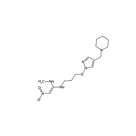 CN/C(=C\[N+](=O)[O-])NCCCOn1cc(CN2CCCCC2)cn1